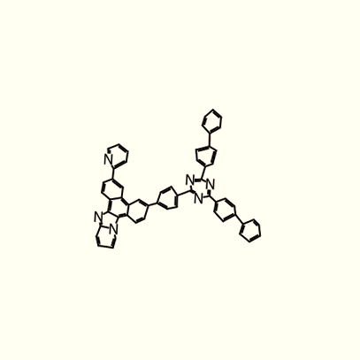 c1ccc(-c2ccc(-c3nc(-c4ccc(-c5ccccc5)cc4)nc(-c4ccc(-c5ccc6c(c5)c5cc(-c7ccccn7)ccc5c5nc7ccccn7c65)cc4)n3)cc2)cc1